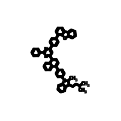 CC(C)CCC1c2ccccc2N(c2ccc(-c3ccc(-c4cc(-c5ccc(-c6cccc7c6oc6ccccc67)cc5)nc(-c5ccccc5)n4)c4ccccc34)cc2)C1C